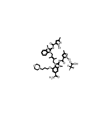 CCn1nc(C)cc1C(=O)/N=c1\n(C)c2ccccc2n1C/C(C)=C(\C)Cn1/c(=N/C(=O)c2cc(C)nn2CC)n(C)c2cc(C(N)=O)cc(OCCCN3CCOCC3)c21.O=C(O)C(F)(F)F